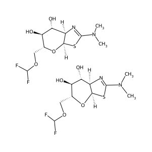 CN(C)C1=N[C@@H]2[C@@H](O)[C@H](O)[C@@H](COC(F)F)O[C@@H]2S1.CN(C)C1=N[C@@H]2[C@@H](O)[C@H](O)[C@@H](COC(F)F)O[C@@H]2S1